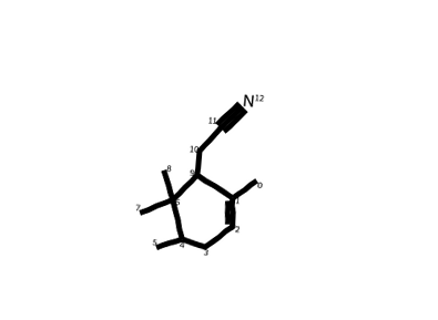 CC1=CCC(C)C(C)(C)C1CC#N